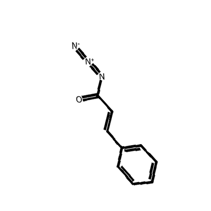 [N-]=[N+]=NC(=O)C=Cc1ccccc1